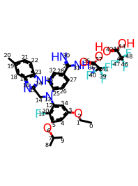 CCOc1cc(OC(C)C)c(F)c(N(Cc2nc3cc(C)ccc3[nH]2)c2ccc(C(=N)N)cc2)c1.O=C(O)C(F)(F)F.O=C(O)C(F)(F)F